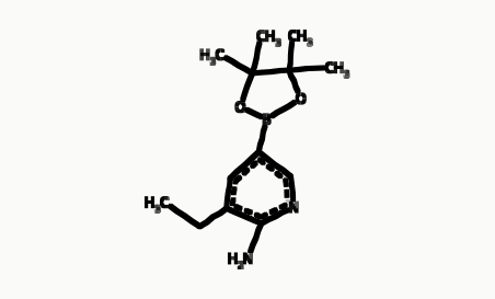 CCc1cc(B2OC(C)(C)C(C)(C)O2)cnc1N